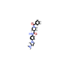 CN(C)C1CCN(c2ccc(NC(=O)C3CCN(C(=O)c4ccccc4)CC3)cc2)C1